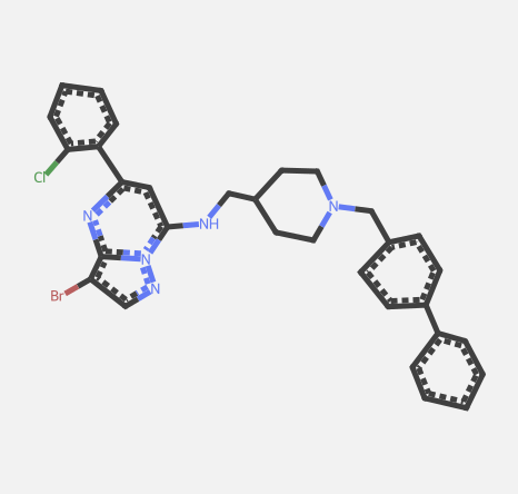 Clc1ccccc1-c1cc(NCC2CCN(Cc3ccc(-c4ccccc4)cc3)CC2)n2ncc(Br)c2n1